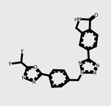 O=C1NCc2cc(-c3nnn(Cc4ccc(-c5nnc(C(F)F)o5)cc4)n3)ccc21